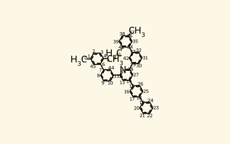 Cc1ccc(C)c(-c2cccc(-c3cc(-c4ccc(-c5ccccc5)cc4)cc(-c4cccc(-c5cc(C)ccc5C)c4)n3)c2)c1